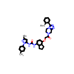 CSc1ccccc1-c1nnc2n1CCN(C(=O)COc1ccc(NC(=O)Nc3cc(C(C)(C)C)nn3-c3ccc(C)cc3)c3c1CCC3)C2